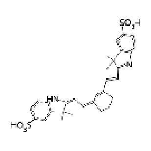 CC1(C)C(C=CC2=CC(=CC=C3Nc4ccc(S(=O)(=O)O)cc4C3(C)C)CCC2)=Nc2ccc(S(=O)(=O)O)cc21